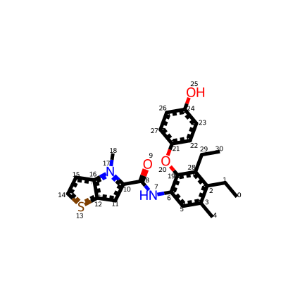 CCc1c(C)cc(NC(=O)c2cc3sccc3n2C)c(Oc2ccc(O)cc2)c1CC